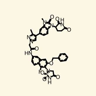 Cc1nn(CC(=O)Nc2ccc3c(F)c(N4CC(=O)NS4(=O)=O)c(OCc4ccccc4)cc3c2)cc1-c1ccc2c(c1)n(C)c(=O)n2C1CCC(=O)NC1=O